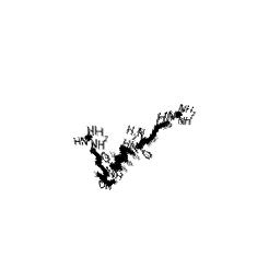 CCC(C)(O)C(CCCNC(=N)N)NC(=O)CCCCCNC(=O)C(N)CCCNC(=N)N